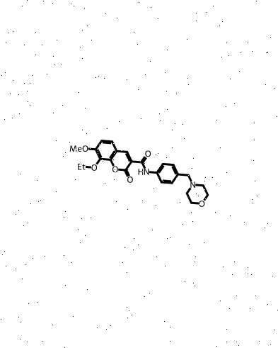 CCOc1c(OC)ccc2cc(C(=O)Nc3ccc(CN4CCOCC4)cc3)c(=O)oc12